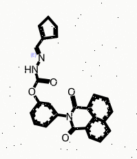 O=C(N/N=C/C1=CCC=C1)Oc1cccc(N2C(=O)c3cccc4cccc(c34)C2=O)c1